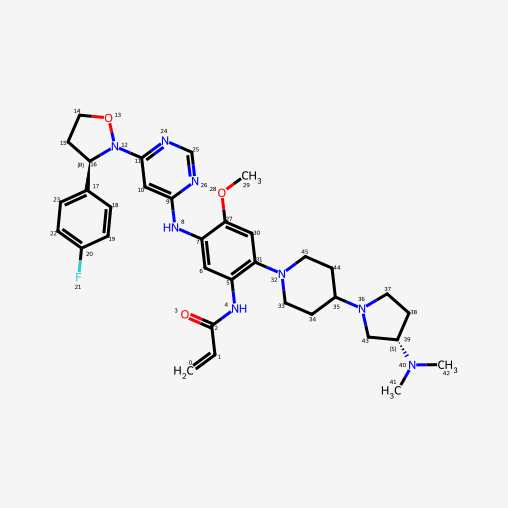 C=CC(=O)Nc1cc(Nc2cc(N3OCC[C@@H]3c3ccc(F)cc3)ncn2)c(OC)cc1N1CCC(N2CC[C@H](N(C)C)C2)CC1